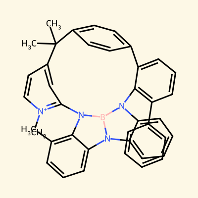 Cc1cccc2c1N1B3N2c2ccccc2N3c2c(-c3ccccc3)cccc2-c2ccc(cc2)C(C)(C)c2cc[n+](C)c1c2